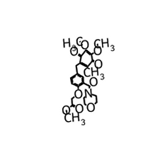 COC(=O)COc1ccc(CC2=C(C)C(=O)C(OC)=C(OC)C2=O)cc1C(=O)N1CCOCC1